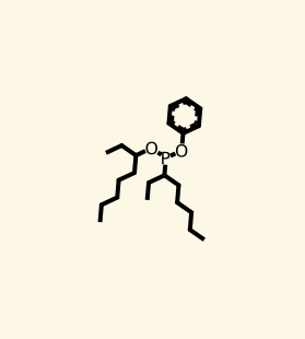 CCCCCC(CC)OP(Oc1ccccc1)C(CC)CCCCC